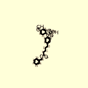 COc1ccc(N(c2ccc(CCCCC(=O)OCc3ccccc3)cc2)S(=O)(=O)O)cc1